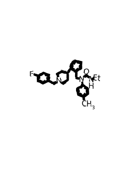 CCNC(=O)N(Cc1ccccc1C1CCN(Cc2ccc(F)cc2)CC1)c1ccc(C)cc1